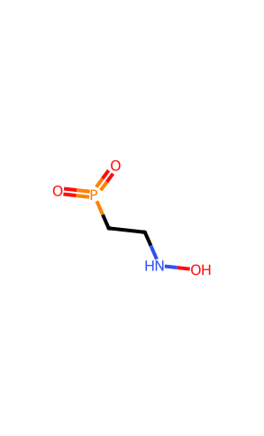 O=P(=O)CCNO